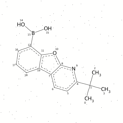 CC(C)(C)c1ccc2c(n1)oc1c(B(O)O)cccc12